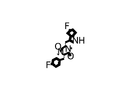 CN1C(=O)[C@H](Cc2c[nH]c3ccc(F)cc23)N(C)C(=O)[C@@H]1Cc1ccc(F)cc1